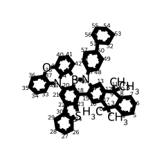 CC1(C)c2ccccc2C(C)(C)c2cc3c(cc21)-c1c2c(cc4c1sc1ccccc14)N1c4ccccc4Oc4cccc(c41)B2N3c1ccc(-c2ccccc2)cc1